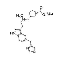 CN(CCc1c[nH]c2ccc(Cn3cncn3)cc12)C[C@@H]1CCN(C(=O)OC(C)(C)C)C1